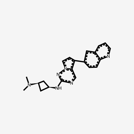 CN(C)[C@H]1C[C@@H](Nc2ncc3c(-c4ccc5ncccc5c4)ccn3n2)C1